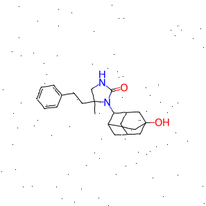 CC1(CCc2ccccc2)CNC(=O)N1C1C2CC3CC1CC(O)(C3)C2